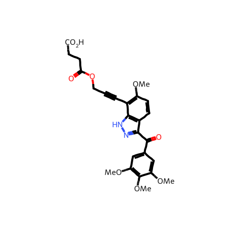 COc1cc(C(=O)c2n[nH]c3c(C#CCOC(=O)CCC(=O)O)c(OC)ccc23)cc(OC)c1OC